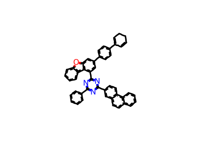 C1=CC(c2ccc(-c3cc(-c4nc(-c5ccccc5)nc(-c5ccc6c(ccc7ccccc76)c5)n4)c4c(c3)oc3ccccc34)cc2)=CCC1